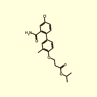 Cc1cc(-c2ccc(Cl)cc2C(N)=O)ccc1OCCC(=O)OC(C)C